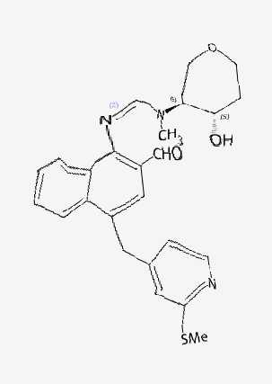 CSc1cc(Cc2cc(C=O)c(/N=C\N(C)[C@H]3COCC[C@@H]3O)c3ccccc23)ccn1